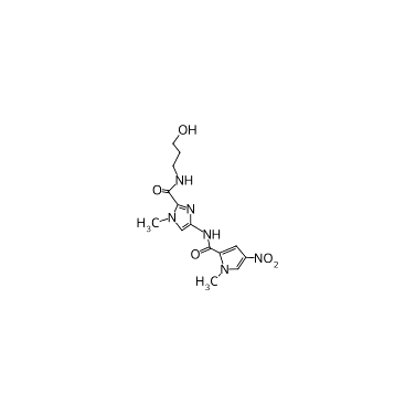 Cn1cc([N+](=O)[O-])cc1C(=O)Nc1cn(C)c(C(=O)NCCCO)n1